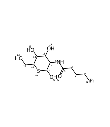 CC(C)CCCC(=O)NC1C(O)SC(CO)C(O)C1O